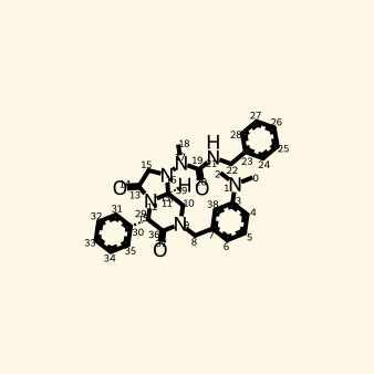 CN(C)c1cccc(CN2C[C@H]3N(C(=O)CN3N(C)C(=O)NCc3ccccc3)[C@@H](c3ccccc3)C2=O)c1